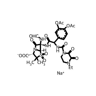 CCN1CCN(C(=O)NC(C(=O)N[C@]2(NC=O)C(=O)N3[C@@H](C(=O)[O-])C(C)(C)S(=O)(=O)[C@@H]32)c2ccc(OC(C)=O)c(OC(C)=O)c2)C(=O)C1=O.[Na+]